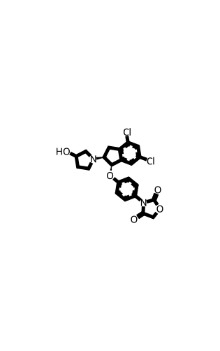 O=C1COC(=O)N1c1ccc(O[C@H]2c3cc(Cl)cc(Cl)c3C[C@@H]2N2CCC(O)C2)cc1